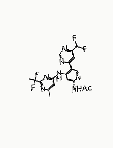 CC(=O)Nc1cc(Nc2cc(C)nc(C(C)(F)F)n2)c(-c2cc(C(F)F)ncn2)cn1